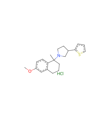 COc1ccc2c(c1)CCCC2(C)N1CCC(c2cccs2)C1.Cl